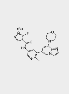 Cc1ncc(NC(=O)c2cnn(C(C)(C)C)c2F)cc1-c1cc(N2CCOCC2)c2nccn2c1